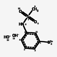 [B+2]c1cccc(NS(C)(=O)=O)c1.[OH-].[OH-]